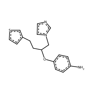 Nc1ccc(OC(CCc2ccsc2)Cn2ccnc2)cc1